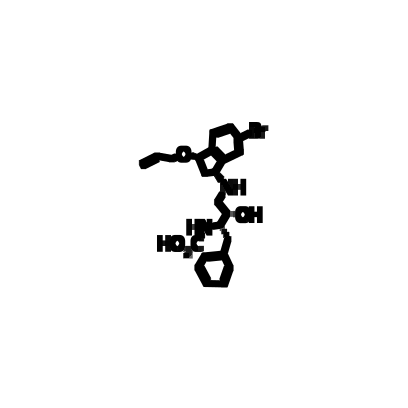 C=CCO[C@@H]1C[C@H](NC[C@H](O)[C@H](Cc2ccccc2)NC(=O)O)c2cc(Br)ccc21